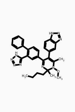 CCCCC1(C)N=C(c2ccc(-c3ccccc3)c(-c3nnn[nH]3)c2)C(c2ccc3[nH]nnc3c2)=C(C)N1OC